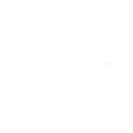 c1cc(C2CCCCC2)ccc1-c1ccc2c(c1)CCN2